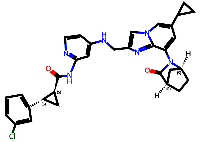 O=C(Nc1cc(NCc2cn3cc(C4CC4)cc(N4C(=O)[C@@H]5CC[C@H]4C5)c3n2)ccn1)[C@H]1C[C@@H]1c1cccc(Cl)c1